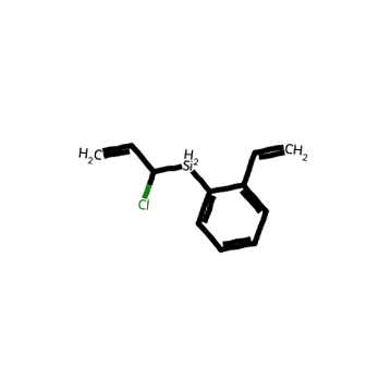 C=Cc1ccccc1[SiH2]C(Cl)C=C